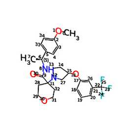 COc1ccc([C@H](C)NC(=O)C2(N3CCC(Oc4cccc(C(F)(F)F)c4)C3)CCOCC2)cc1